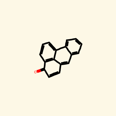 O=C1C=Cc2cc3ccccc3c3cccc1c23